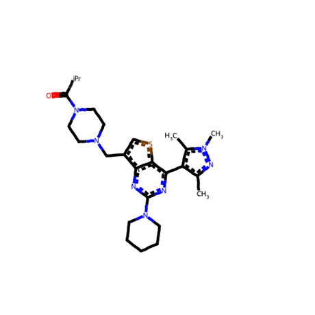 Cc1nn(C)c(C)c1-c1nc(N2CCCCC2)nc2c(CN3CCN(C(=O)C(C)C)CC3)csc12